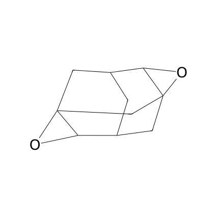 C1C2CC34CC5(CC1C3O4)OC25